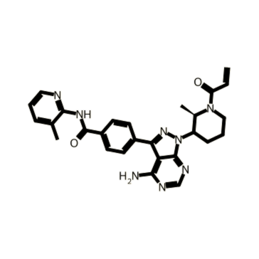 C=CC(=O)N1CCCC(n2nc(-c3ccc(C(=O)Nc4ncccc4C)cc3)c3c(N)ncnc32)[C@H]1C